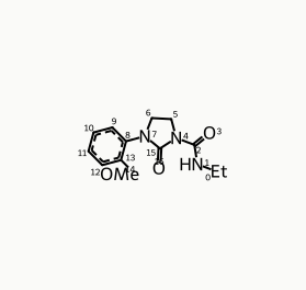 CCNC(=O)N1CCN(c2ccccc2OC)C1=O